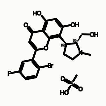 CN1CC[C@@H](c2c(O)cc(O)c3c(=O)cc(-c4cc(F)ccc4Br)oc23)[C@@H]1CO.CS(=O)(=O)O